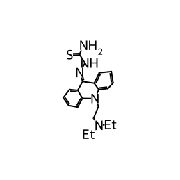 CCN(CC)CCn1c2ccccc2c(=NNC(N)=S)c2ccccc21